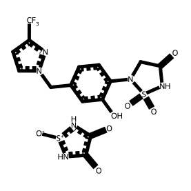 O=C1CN(c2ccc(Cn3ccc(C(F)(F)F)n3)cc2O)S(=O)(=O)N1.O=c1[nH][s+]([O-])[nH]c1=O